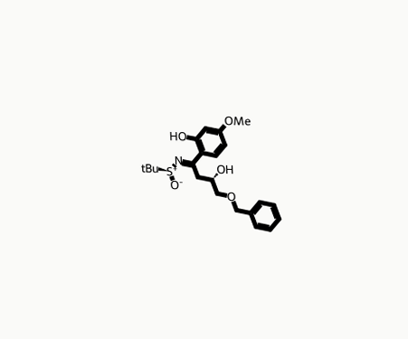 COc1ccc(/C(C[C@H](O)COCc2ccccc2)=N/[S@@+]([O-])C(C)(C)C)c(O)c1